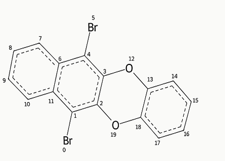 Brc1c2c(c(Br)c3ccccc13)Oc1ccccc1O2